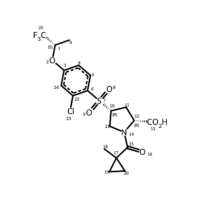 C[C@H](Oc1ccc(S(=O)(=O)[C@@H]2C[C@H](C(=O)O)N(C(=O)C3(C)CC3)C2)c(Cl)c1)C(F)(F)F